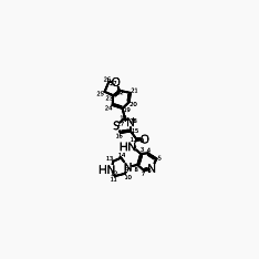 O=C(Nc1ccncc1N1CCNCC1)c1csc(-c2ccc3c(c2)CCO3)n1